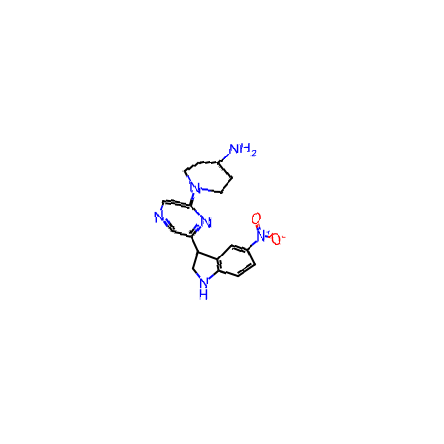 NC1CCN(c2cncc(C3CNc4ccc([N+](=O)[O-])cc43)n2)CC1